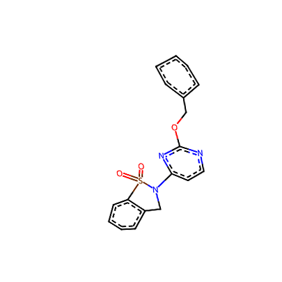 O=S1(=O)c2ccccc2CN1c1ccnc(OCc2ccccc2)n1